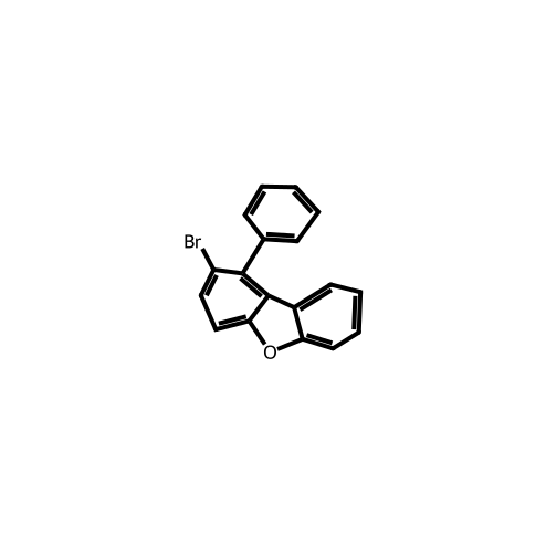 Brc1ccc2oc3ccccc3c2c1-c1ccccc1